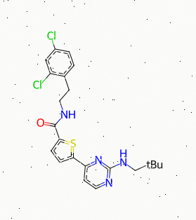 CC(C)(C)CNc1nccc(-c2ccc(C(=O)NCCc3ccc(Cl)cc3Cl)s2)n1